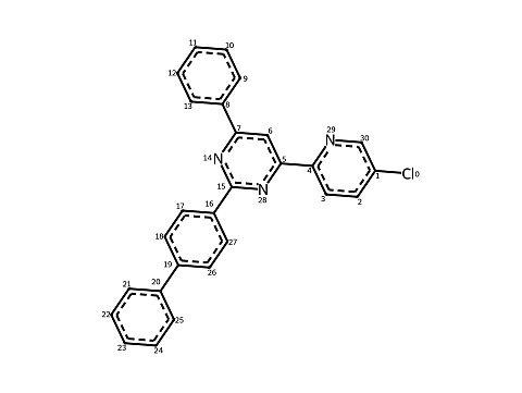 Clc1ccc(-c2cc(-c3ccccc3)nc(-c3ccc(-c4ccccc4)cc3)n2)nc1